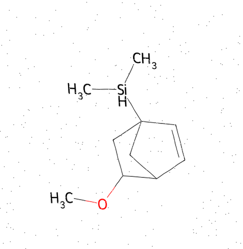 COC1CC2([SiH](C)C)C=CC1C2